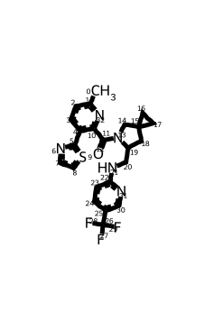 Cc1ccc(-c2nccs2)c(C(=O)N2CC3(CC3)CC2CNc2ccc(C(F)(F)F)cn2)n1